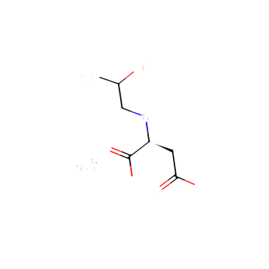 CC(O)CN[C@@H](CC(=O)O)C(=O)O.[NaH].[NaH]